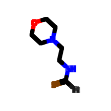 CCC(=S)NCCN1CCOCC1